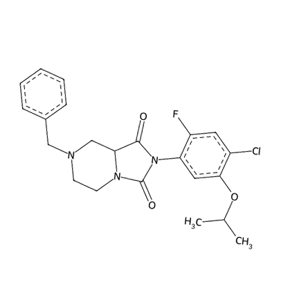 CC(C)Oc1cc(N2C(=O)C3CN(Cc4ccccc4)CCN3C2=O)c(F)cc1Cl